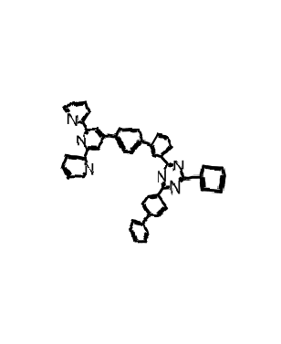 c1ccc(-c2ccc(-c3nc(-c4ccccc4)nc(-c4cccc(-c5ccc(-c6cc(-c7ccccn7)nc(-c7ccccn7)c6)cc5)c4)n3)cc2)cc1